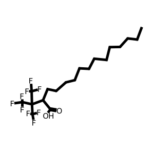 CCCCCCCCCCCCCC(C(=O)O)C(C(F)(F)F)(C(F)(F)F)C(F)(F)F